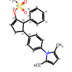 Cc1ccc(C)n1-c1ccc(C2CC=C(OS(=O)(=O)C(F)(F)F)C2c2ccccc2)cc1